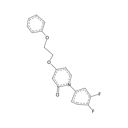 O=c1cc(OCCOc2ccccc2)ccn1-c1ccc(F)c(F)c1